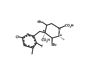 Cc1cc(Cl)nc(C[C@@]2(C(=O)O)C(C(C)(C)C)CN(C(=O)O)[C@H](C)C2C(C)(C)C)c1F